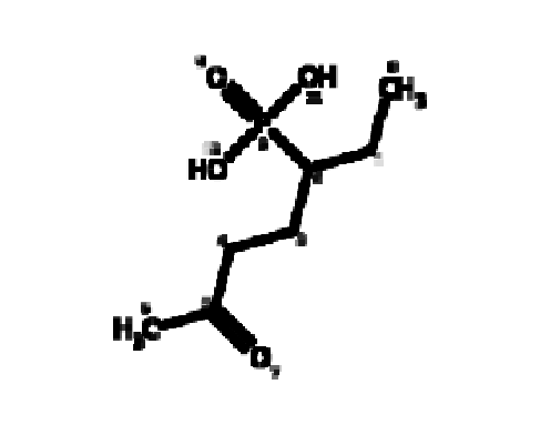 CCC(CCC(C)=O)P(=O)(O)O